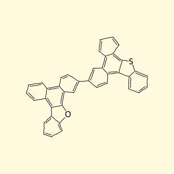 c1ccc2c(c1)oc1c3cc(-c4ccc5c(c4)c4ccccc4c4sc6ccccc6c54)ccc3c3ccccc3c21